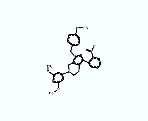 COc1ccc(Cn2nc(-c3ccccc3[N+](=O)[O-])c3c2CN(c2cc(OC)cc(OC)c2)CC3)cc1